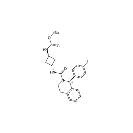 CC(C)(C)OC(=O)N[C@H]1C[C@H](NC(=O)N2CCc3ccccc3[C@@H]2c2ccc(F)cc2)C1